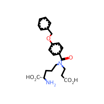 N[C@@H](CCCN(CCC(=O)O)C(=O)c1ccc(OCc2ccccc2)cc1)C(=O)O